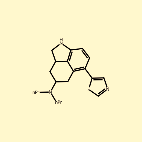 CCCN(CCC)C1Cc2c(-c3cncs3)ccc3c2C(CN3)C1